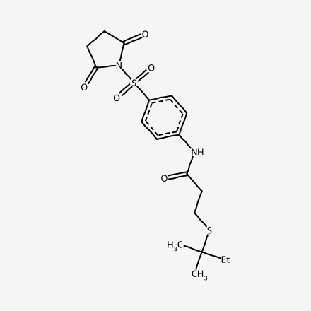 CCC(C)(C)SCCC(=O)Nc1ccc(S(=O)(=O)N2C(=O)CCC2=O)cc1